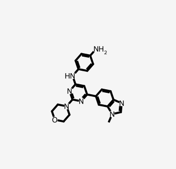 Cn1cnc2ccc(-c3cc(Nc4ccc(N)cc4)nc(N4CCOCC4)n3)cc21